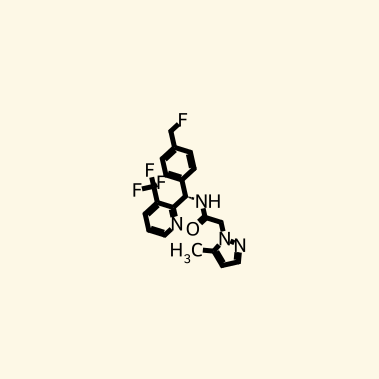 Cc1ccnn1CC(=O)N[C@@H](c1ccc(CF)cc1)c1ncccc1C(F)(F)F